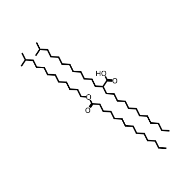 CCCCCCCCCCCCC(CCCCCCCCCCC(C)C)C(=O)O.CCCCCCCCCCCCCC(=O)OCCCCCCCCCCC(C)C